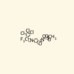 CS(=O)(=O)CC(=O)N1CC2(C1)OCc1cc(N3CCC(c4cc(Cl)c(Cl)c(Cl)c4)(C(F)(F)F)C3)ccc12